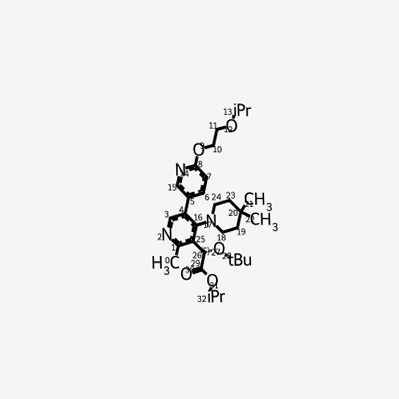 Cc1ncc(-c2ccc(OCCOC(C)C)nc2)c(N2CCC(C)(C)CC2)c1[C@H](OC(C)(C)C)C(=O)OC(C)C